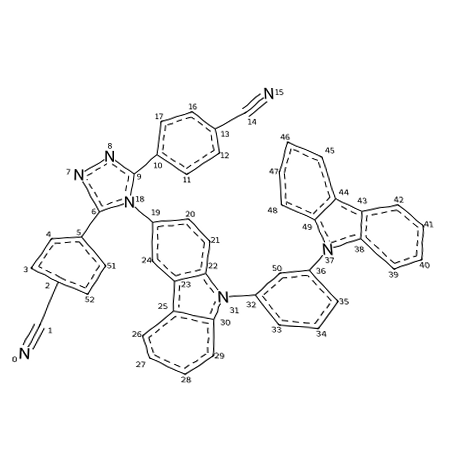 N#Cc1ccc(-c2nnc(-c3ccc(C#N)cc3)n2-c2ccc3c(c2)c2ccccc2n3-c2cccc(-n3c4ccccc4c4ccccc43)c2)cc1